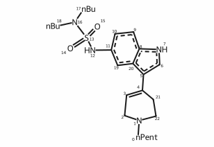 CCCCCN1CC=C(c2c[nH]c3ccc(NS(=O)(=O)N(CCCC)CCCC)cc23)CC1